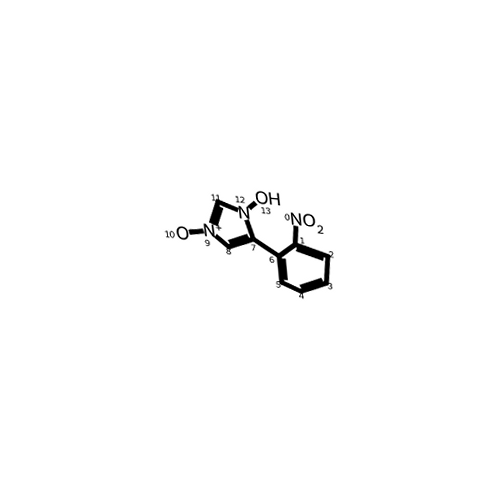 O=[N+]([O-])c1ccccc1-c1c[n+]([O-])cn1O